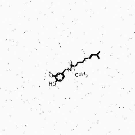 COc1cc(CNC(=O)CCCCC=CC(C)C)ccc1O.[CaH2]